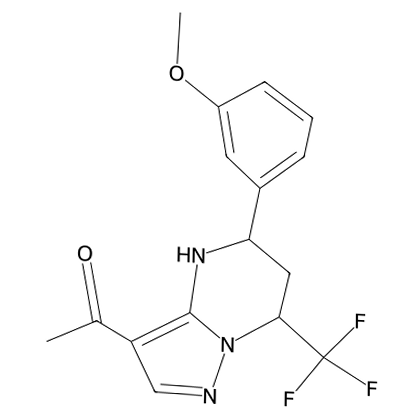 COc1cccc(C2CC(C(F)(F)F)n3ncc(C(C)=O)c3N2)c1